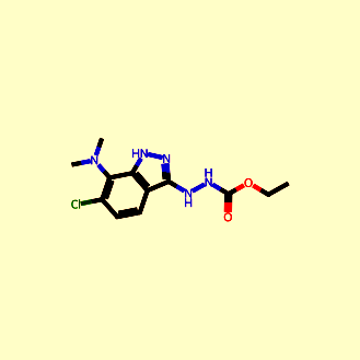 CCOC(=O)NNc1n[nH]c2c(N(C)C)c(Cl)ccc12